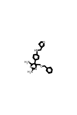 Nc1nc(N)c(-c2ccc(NCc3ccoc3)cc2)c(COCc2ccccc2)n1